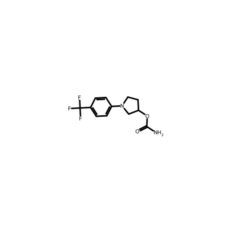 NC(=O)OC1CCN(c2ccc(C(F)(F)F)cc2)C1